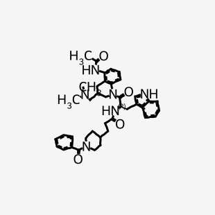 CC(=O)Nc1cccc2c1CC(CN(C)C)CN2C(=O)[C@@H](Cc1c[nH]c2ccccc12)NC(=O)CCC1CCN(C(=O)c2ccccc2)CC1